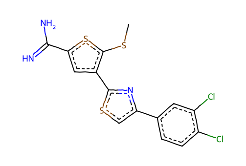 CSc1sc(C(=N)N)cc1-c1nc(-c2ccc(Cl)c(Cl)c2)cs1